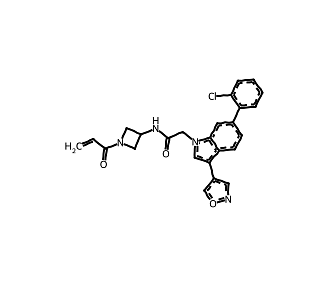 C=CC(=O)N1CC(NC(=O)Cn2cc(-c3cnoc3)c3ccc(-c4ccccc4Cl)cc32)C1